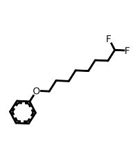 FC(F)CCCCCCCOc1ccccc1